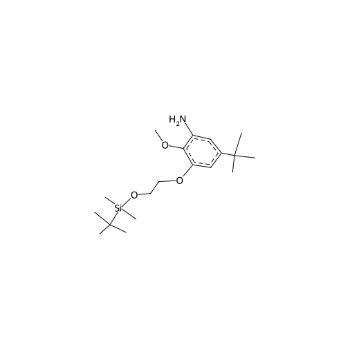 COc1c(N)cc(C(C)(C)C)cc1OCCO[Si](C)(C)C(C)(C)C